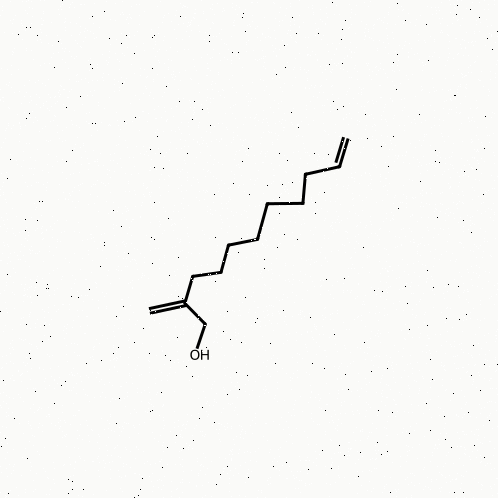 C=CCCCCCCCC(=C)CO